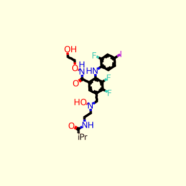 CC(C)C(=O)NCCN(O)Cc1cc(C(=O)NOCCO)c(Nc2ccc(I)cc2F)c(F)c1F